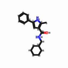 Cc1[nH]c(-c2ccccc2)cc1C(=O)NCC1CCCCC1